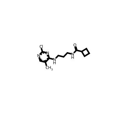 Cc1cnc(Cl)nc1NCCCNC(=O)C1CCC1